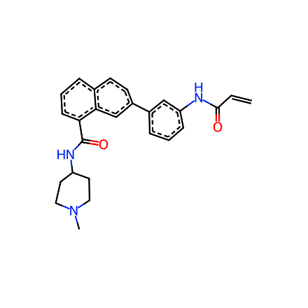 C=CC(=O)Nc1cccc(-c2ccc3cccc(C(=O)NC4CCN(C)CC4)c3c2)c1